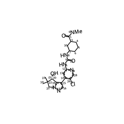 CNC(=O)C1CCCC(NC(=O)Nc2cc(-c3cnn4c3[C@@H](O)C(C)(C)C4)c(Cl)cn2)C1